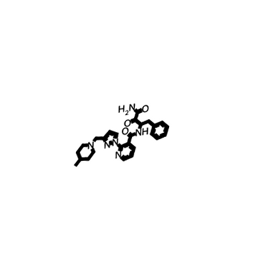 CC1CCN(Cc2ccn(-c3ncccc3C(=O)NC(Cc3ccccc3)C(=O)C(N)=O)n2)CC1